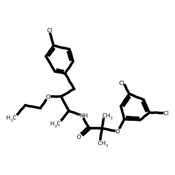 CCCOC(Cc1ccc(Cl)cc1)C(C)NC(=O)C(C)(C)Oc1cc(Cl)cc(Cl)c1